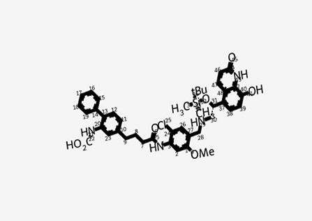 COc1cc(NC(=O)CCCc2ccc(-c3ccccc3)c(NC(=O)O)c2)c(Cl)cc1CNC[C@H](O[Si](C)(C)C(C)(C)C)c1ccc(O)c2[nH]c(=O)ccc12